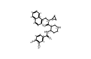 O=C(NC1CCNCC1C(=O)N(Cc1cccc2ccccc12)C1CC1)c1ccc(F)c(Cl)c1